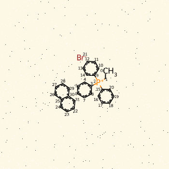 CC[P+](c1ccccc1)(c1ccccc1)c1ccccc1.[Br-].c1ccc2ccccc2c1